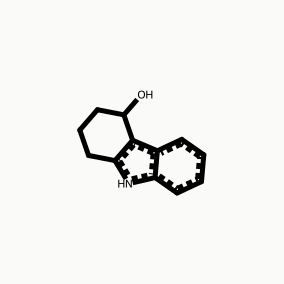 OC1CCCc2[nH]c3ccccc3c21